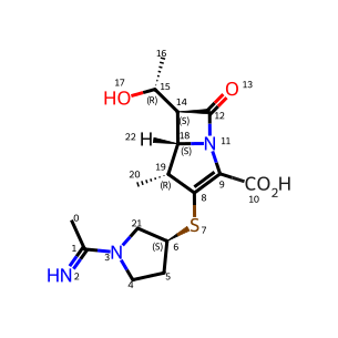 CC(=N)N1CC[C@H](SC2=C(C(=O)O)N3C(=O)[C@H]([C@@H](C)O)[C@H]3[C@H]2C)C1